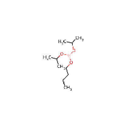 CCCCOB(OC(C)C)OC(C)C